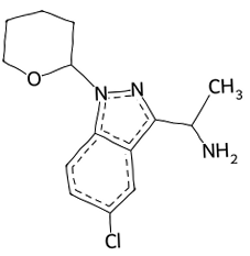 CC(N)c1nn(C2CCCCO2)c2ccc(Cl)cc12